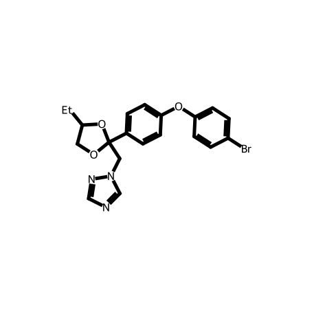 CCC1COC(Cn2cncn2)(c2ccc(Oc3ccc(Br)cc3)cc2)O1